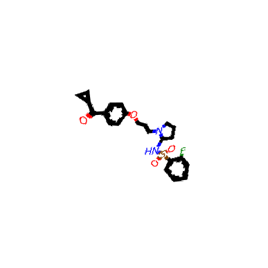 O=C(c1ccc(OCCCN2CCCC2NS(=O)(=O)c2ccccc2F)cc1)C1CC1